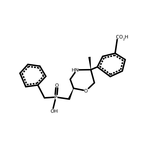 C[C@@]1(c2cccc(C(=O)O)c2)CO[C@@H](CP(=O)(O)Cc2ccccc2)CN1